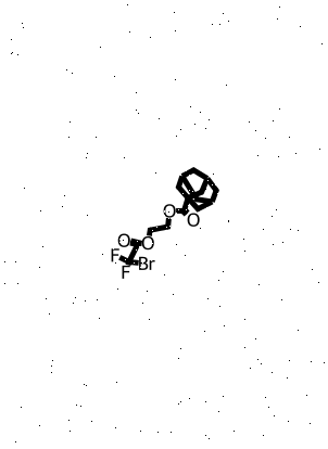 O=C(OCCOC(=O)C12CC3CC(CC(C3)C1)C2)C(F)(F)Br